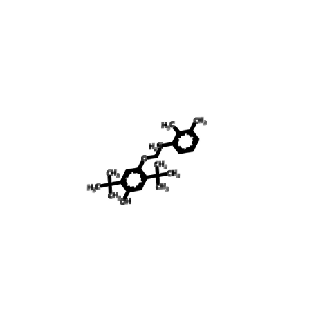 Cc1cccc([SiH2]COc2cc(C(C)(C)C)c(O)cc2C(C)(C)C)c1C